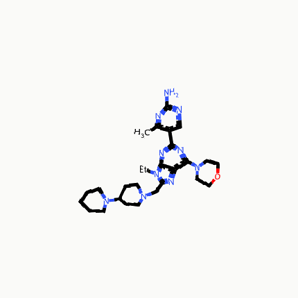 CCn1c(CN2CCC(N3CCCCC3)CC2)nc2c(N3CCOCC3)nc(-c3cnc(N)nc3C)nc21